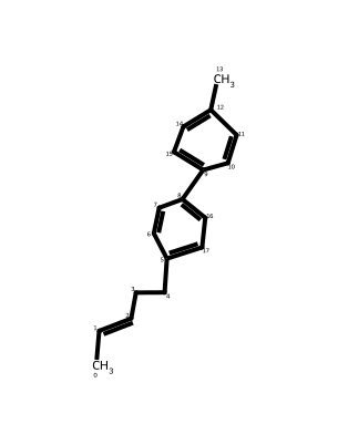 C/C=C/CCc1ccc(-c2ccc(C)cc2)cc1